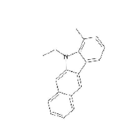 CCn1c2cc3ccccc3cc2c2cccc(C)c21